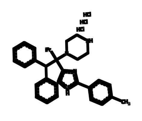 Cc1ccc(-c2nc(C(C(C)C)(C(c3ccccc3)c3ccccc3)N3CCNCC3)c[nH]2)cc1.Cl.Cl.Cl